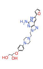 Nc1nc2c(ncn2CCN2CCN(c3ccc(OCC(O)CO)cc3)CC2)c2cc(-c3ccco3)nn12